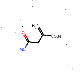 C=C(CC([NH])=O)C(=O)O